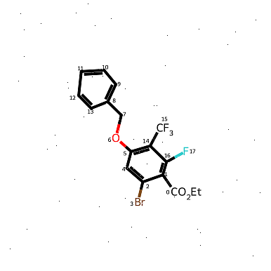 CCOC(=O)c1c(Br)cc(OCc2ccccc2)c(C(F)(F)F)c1F